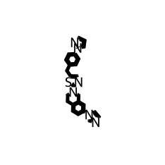 c1cnn(-c2ccc(Cc3cnc(N4CCc5ccc(-n6ccnc6)cc5C4)s3)cc2)c1